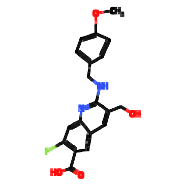 COc1ccc(CNc2nc3cc(F)c(C(=O)O)cc3cc2CO)cc1